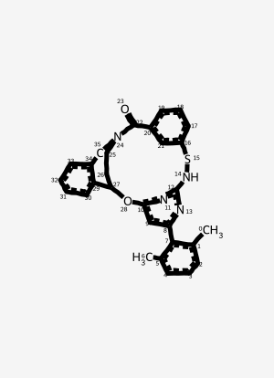 Cc1cccc(C)c1-c1cc2nc(n1)NSc1cccc(c1)C(=O)N1CCC(O2)c2ccccc2C1